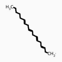 [CH2]CC=CCC=CCC=CCC=CCCCCC